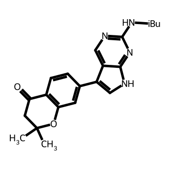 CCC(C)Nc1ncc2c(-c3ccc4c(c3)OC(C)(C)CC4=O)c[nH]c2n1